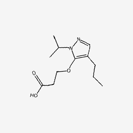 CCCc1cnn(C(C)C)c1OCCC(=O)O